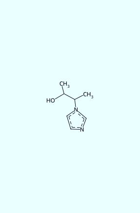 CC(O)C(C)n1ccnc1